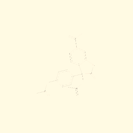 CC(=O)Oc1ccc(C2(OC(C)=O)C(=O)Nc3cc(C(C)=O)ccc32)cc1